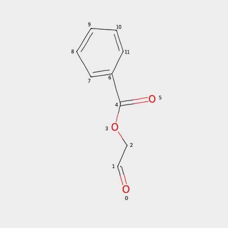 O=[C]COC(=O)c1ccccc1